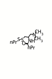 CCCSSCC(CN(C)C)NC(=O)CCC